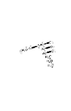 CC(=O)[O-].CC(=O)[O-].CC(=O)[O-].CC(=O)[O-].O.O.O.O.[Ti+4]